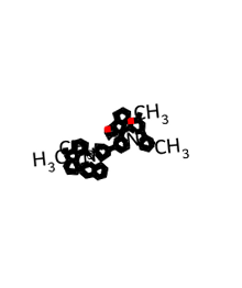 Cc1ccc2c(c1)c1cc(C)cc3c1n2-c1ccc(-c2ccc(N(c4cccc5c4-c4ccccc4C5(C)C)c4cccc5ccccc45)cc2)cc1C31c2ccccc2-c2ccccc21